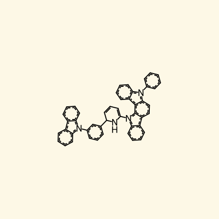 C1=CC(c2cccc(-n3c4ccccc4c4ccccc43)c2)NC(n2c3ccccc3c3ccc4c(c5ccccc5n4-c4ccccc4)c32)=C1